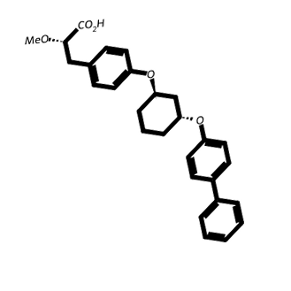 CO[C@@H](Cc1ccc(O[C@@H]2CCC[C@@H](Oc3ccc(-c4ccccc4)cc3)C2)cc1)C(=O)O